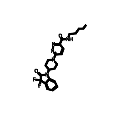 CCCCCNC(=O)c1ccc(N2CCC(N3C(=O)C(F)(F)c4ccccc43)CC2)nn1